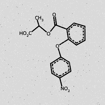 CC(OC(=O)c1ccccc1Oc1ccc([N+](=O)[O-])cc1)C(=O)O